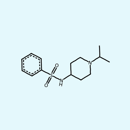 CC(C)N1CCC(NS(=O)(=O)c2ccccc2)CC1